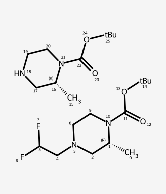 C[C@@H]1CN(CC(F)F)CCN1C(=O)OC(C)(C)C.C[C@@H]1CNCCN1C(=O)OC(C)(C)C